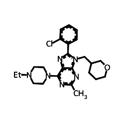 CCN1CCN(c2nc(C)nc3c2nc(-c2ccccc2Cl)n3CC2CCCOC2)CC1